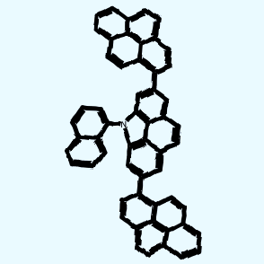 c1ccc2c(-n3c4cc(-c5ccc6ccc7cccc8ccc5c6c78)cc5ccc6cc(-c7ccc8ccc9cccc%10ccc7c8c9%10)cc3c6c54)cccc2c1